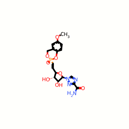 COc1ccc2c(c1)COP(=O)(/C=C/C1OC(n3cnc(C(N)=O)n3)[C@H](O)[C@@H]1O)O2